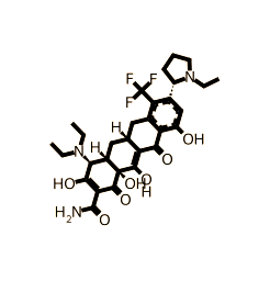 CCN(CC)[C@@H]1C(O)=C(C(N)=O)C(=O)[C@@]2(O)C(O)=C3C(=O)c4c(O)cc([C@@H]5CCCN5CC)c(C(F)(F)F)c4C[C@H]3C[C@@H]12